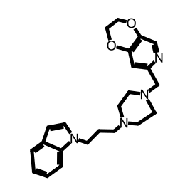 c1ccc2c(c1)ccn2CCCN1CCN(Cc2cc3c(cn2)OCCO3)CC1